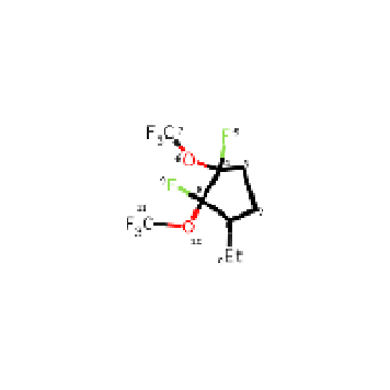 [CH2]CC1C[CH]C(F)(OC(F)(F)F)C1(F)OC(F)(F)F